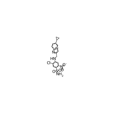 NS(=O)(=O)c1cc(Cl)c(NCc2cn3cc(C4CC4)ccc3n2)cc1[N+](=O)[O-]